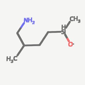 CC(CN)CC[SiH](C)[O]